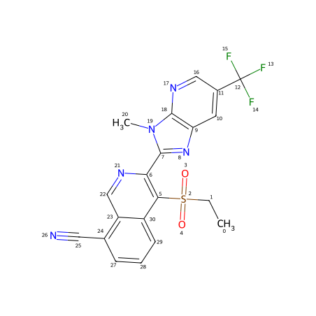 CCS(=O)(=O)c1c(-c2nc3cc(C(F)(F)F)cnc3n2C)ncc2c(C#N)cccc12